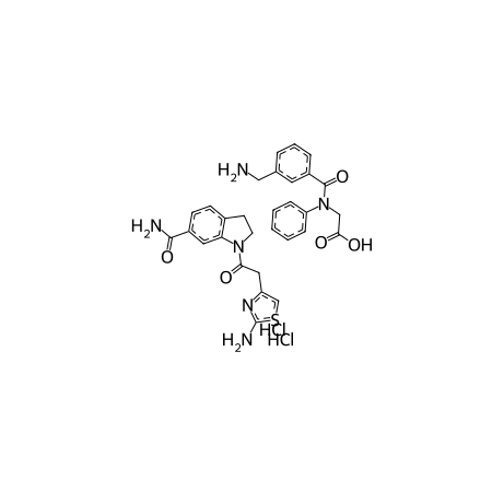 Cl.Cl.NC(=O)c1ccc2c(c1)N(C(=O)Cc1csc(N)n1)CC2.NCc1cccc(C(=O)N(CC(=O)O)c2ccccc2)c1